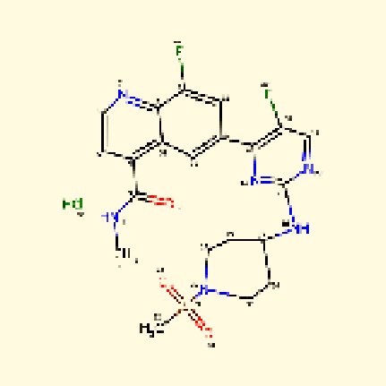 CNC(=O)c1ccnc2c(F)cc(-c3nc(NC4CCN(S(C)(=O)=O)CC4)ncc3F)cc12.Cl